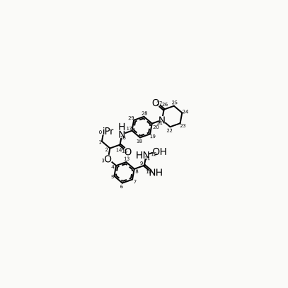 CC(C)CC(Oc1cccc(C(=N)NO)c1)C(=O)Nc1ccc(N2CCCCC2=O)cc1